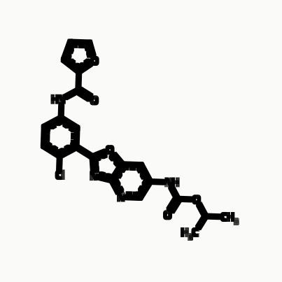 CC(C)OC(=O)Nc1cnc2nc(-c3cc(NC(=O)c4ccco4)ccc3Cl)oc2c1